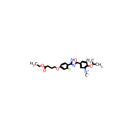 [C-]#[N+]c1cc(-c2nc(-c3ccc(OCCCC(=O)OCC)cc3F)no2)ccc1OC(C)C